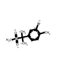 Cc1ccc(C(C)(C)S(C)(=O)=O)cc1Br